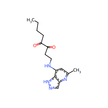 CCCCC(=O)C(=O)CCNc1cc(C)nc2cn[nH]c12